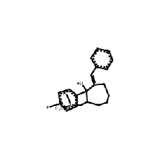 CN(C)CC1CCCCC(=Cc2ccccc2)C1(O)c1ccc(F)cc1